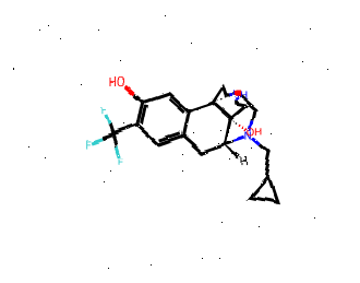 Oc1cc2c(cc1C(F)(F)F)C[C@H]1N(CC3CC3)CC[C@@]23CCNCC[C@@]13O